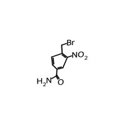 NC(=O)c1ccc(CBr)c([N+](=O)[O-])c1